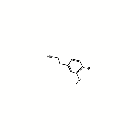 COc1cc(CCS)ccc1Br